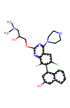 CN(C)CC(O)COc1nc(N2CCNCC2)c2cc(Cl)c(-c3cc(O)cc4ccccc34)c(F)c2n1